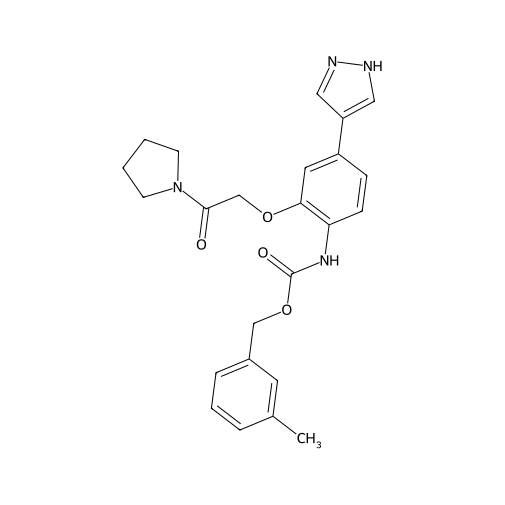 Cc1cccc(COC(=O)Nc2ccc(-c3cn[nH]c3)cc2OCC(=O)N2CCCC2)c1